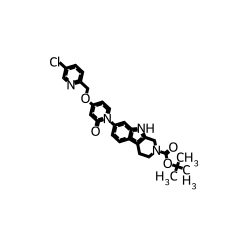 CC(C)(C)OC(=O)N1CCc2c([nH]c3cc(-n4ccc(OCc5ccc(Cl)cn5)cc4=O)ccc23)C1